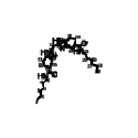 CCCCCCNC(=O)c1ccc2[nH]c(Cc3nc4cc(C(=O)NCCCCCC)ccc4[nH]3)nc2c1